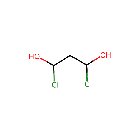 OC(Cl)CC(O)Cl